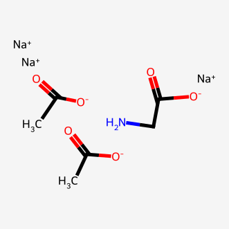 CC(=O)[O-].CC(=O)[O-].NCC(=O)[O-].[Na+].[Na+].[Na+]